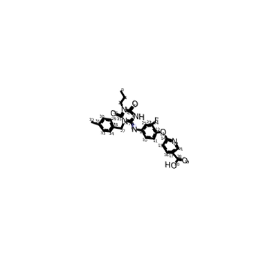 CCCn1c(=O)[nH]/c(=N\c2ccc(Oc3ccc(C(=O)O)cn3)c(F)c2)n(Cc2ccc(C)cc2)c1=O